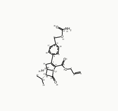 C=CCOC(=O)C1=C(c2ccc(COC(N)=O)cc2)C[C@@H]2[C@@H](C(C)C)C(=O)N12